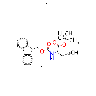 C#CC[C@@H](NC(=O)OCC1c2ccccc2-c2ccccc21)C(=O)OC(C)(C)C